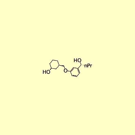 CCC[C@@H](O)c1cccc(OC[C@@H]2CCC[C@H](O)C2)c1